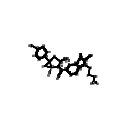 COCCn1c(=O)[nH]c2cc(C(=O)N3[C@H](C)CC4(c5ccc(F)cc5)C[C@H]34)ccc21